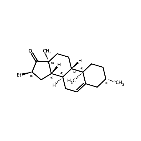 CC[C@@H]1C[C@H]2[C@@H]3CC=C4C[C@@H](C)CC[C@]4(C)[C@H]3CC[C@]2(C)C1=O